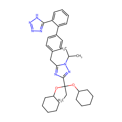 CCC(OC1CCCCC1)(OC1CCCCC1)c1nc(Cc2ccc(-c3ccccc3-c3nnn[nH]3)cc2)n(C(C)C)n1